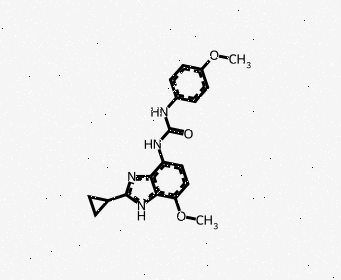 COc1ccc(NC(=O)Nc2ccc(OC)c3[nH]c(C4CC4)nc23)cc1